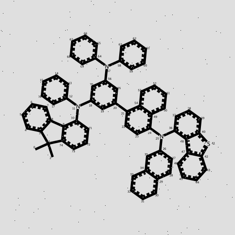 CC1(C)c2ccccc2-c2c(N(c3ccccc3)c3cc(-c4ccc(N(c5ccc6ccccc6c5)c5cccc6sc7ccccc7c56)c5ccccc45)cc(N(c4ccccc4)c4ccccc4)c3)cccc21